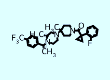 C[C@H]1CN(C2(C)CCN(C(=O)C3(c4ccccc4F)CC3)CC2)CCN1[C@@H](C)c1ccc(C(F)(F)F)cc1